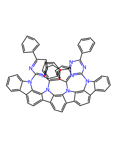 C1=CC(n2c3c(ccc4c5ccccc5n(-c5nccc(-c6ccccc6)n5)c43)c3ccc4c5ccc6c7ccccc7n(-c7nc(-c8ccccc8)nc(-c8ccccc8)n7)c6c5n(-c5ccccc5)c4c32)=CCC1